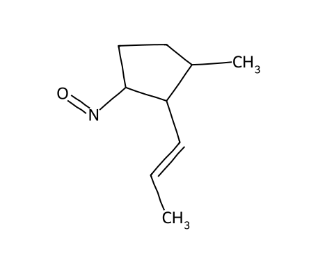 C/C=C/C1C(C)CCC1N=O